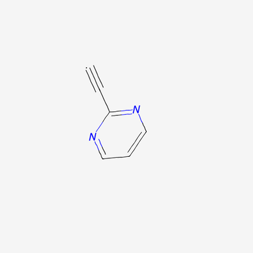 [C]#Cc1ncccn1